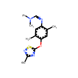 Cc1cc(Oc2nc(C(C)(C)C)ns2)c(C)cc1/N=C\N(C)C(C)C